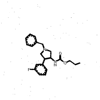 CCCOC(=O)NC1CN(Cc2ccccc2)CC1c1cccc(F)c1